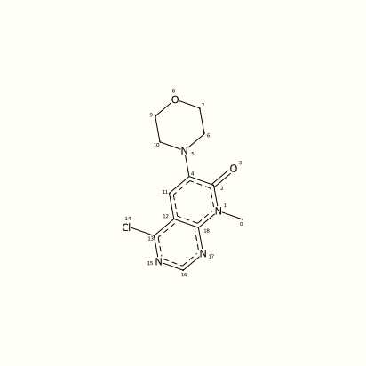 Cn1c(=O)c(N2CCOCC2)cc2c(Cl)ncnc21